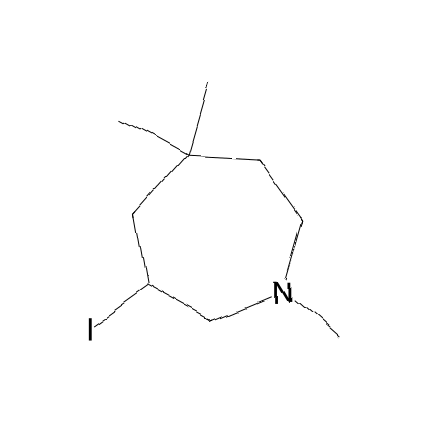 CN1CCC(C)(C)CC(I)C1